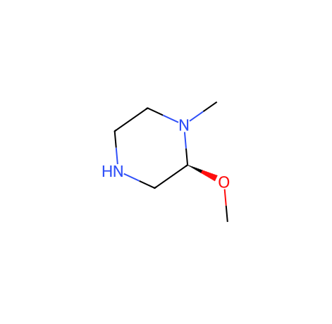 CO[C@H]1CNCCN1C